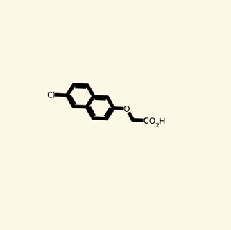 O=C(O)COc1ccc2cc(Cl)ccc2c1